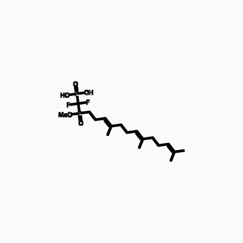 COP(=O)(CC/C=C(\C)CC/C=C(\C)CCC=C(C)C)C(F)(F)P(=O)(O)O